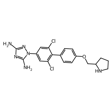 Nc1nc(N)n(-c2cc(Cl)c(-c3ccc(OCC4CCCN4)cc3)c(Cl)c2)n1